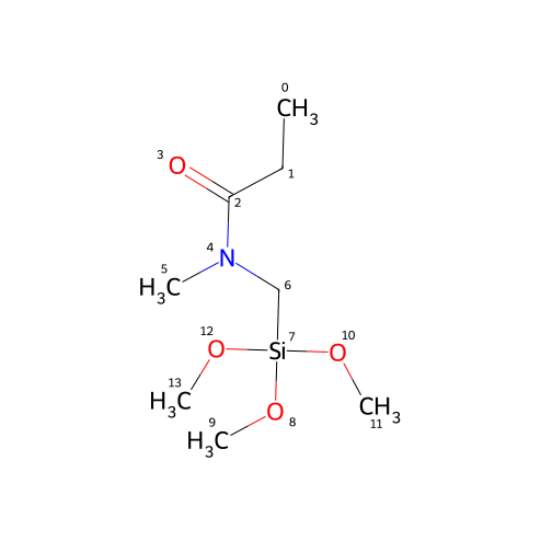 CCC(=O)N(C)C[Si](OC)(OC)OC